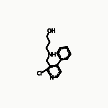 OCCCNCc1c(-c2ccccc2)ccnc1Cl